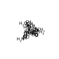 CC(C)OC(=O)[C@H](C)N[P@](=O)(OC[C@H]1OC(n2ccc(N)nc2=O)C(F)(F)[C@@H]1OC(=O)[C@@H](NC(=O)OC(C)(C)C)C(C)C)Oc1ccccc1